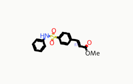 COC(=O)/C=C/c1ccc(S(=O)(=O)Nc2ccccc2)cc1